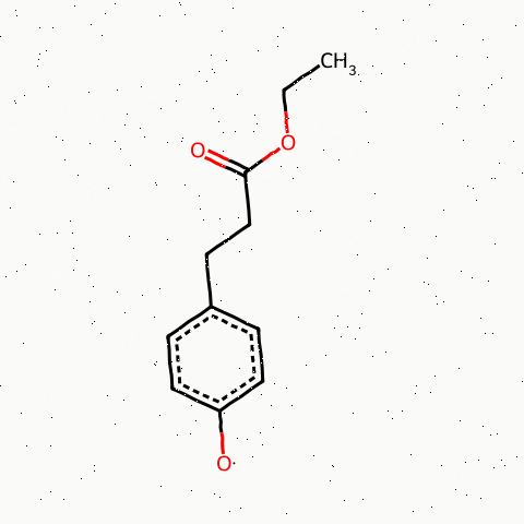 CCOC(=O)CCc1ccc([O])cc1